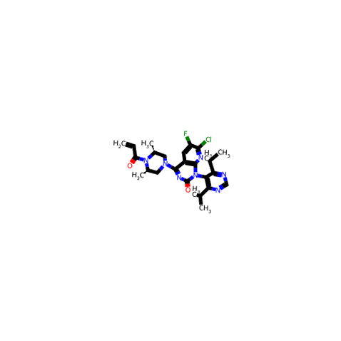 C=CC(=O)N1[C@H](C)CN(c2nc(=O)n(-c3c(C(C)C)ncnc3C(C)C)c3nc(Cl)c(F)cc23)C[C@@H]1C